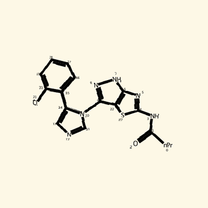 CCCC(=O)Nc1nc2[nH]nc(-n3cncc3-c3ccccc3Cl)c2s1